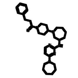 O=C(CCc1ccccc1)N1CCC(N2CCCCC(Nc3nccc(N4CCCCCC4)n3)C2)CC1